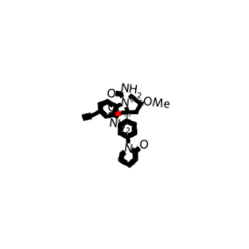 C#Cc1ccc([N+]2(C(N)=O)C[C@H](OC)C[C@]2(C(N)=O)c2ccc(-n3ccccc3=O)cc2)cc1